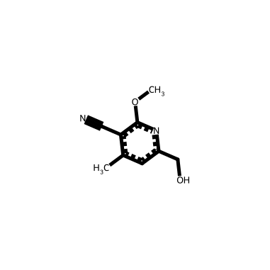 COc1nc(CO)cc(C)c1C#N